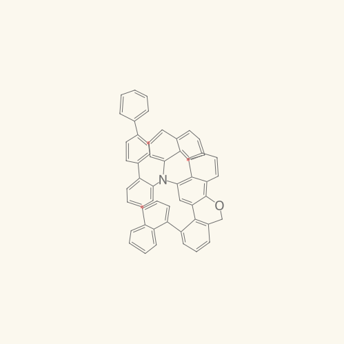 c1ccc(-c2ccc(-c3ccccc3N(c3cccc4ccccc34)c3cc4c(c5ccccc35)OCc3cccc(-c5cccc6ccccc56)c3-4)cc2)cc1